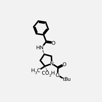 CC(C)(C)OC(=O)N1C[C@@H](NC(=O)c2ccccc2)C[C@@]1(C)C(=O)O